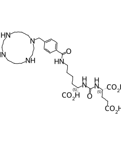 O=C(O)CC[C@H](NC(=O)N[C@@H](CCCCNC(=O)c1ccc(CN2CCCNCCNCCCNCC2)cc1)C(=O)O)C(=O)O